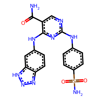 NC(=O)c1cnc(Nc2ccc(S(N)(=O)=O)cc2)nc1Nc1ccc2nn[nH]c2c1